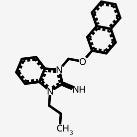 CCCn1c(=N)n(COc2ccc3ccccc3c2)c2ccccc21